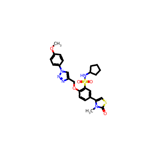 COc1ccc(-n2cc(COc3ccc(-c4csc(=O)n4C)cc3S(=O)(=O)NC3CCCC3)nn2)cc1